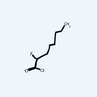 CCCCCC[C@H](F)C(=O)Cl